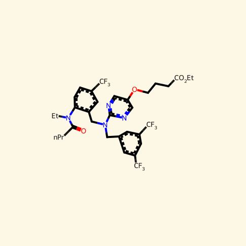 CCCC(=O)N(CC)c1ccc(C(F)(F)F)cc1CN(Cc1cc(C(F)(F)F)cc(C(F)(F)F)c1)c1ncc(OCCCC(=O)OCC)cn1